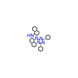 c1ccc(-c2nc(-c3ccccc3)nc(N3c4ccc5ccccc5c4Nc4ccc5ccccc5c43)n2)cc1